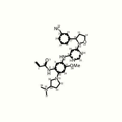 C=CC(=O)Nc1cc(Nc2cc(N3OCCC3c3cccc(C#N)c3)ncn2)c(OC)cc1N1CCC(N(C)C)C1